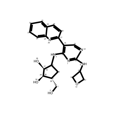 OC[C@H]1CC(Nc2nc(NC3COC3)ncc2-c2ccc3ccccc3n2)[C@H](O)[C@@H]1O